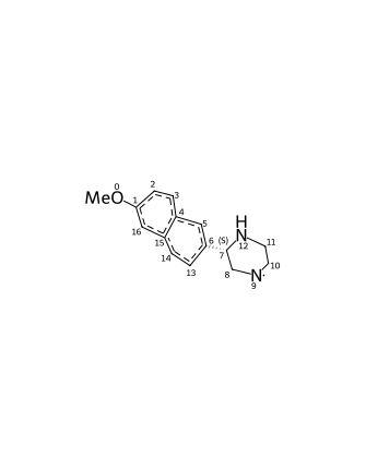 COc1ccc2cc([C@H]3C[N]CCN3)ccc2c1